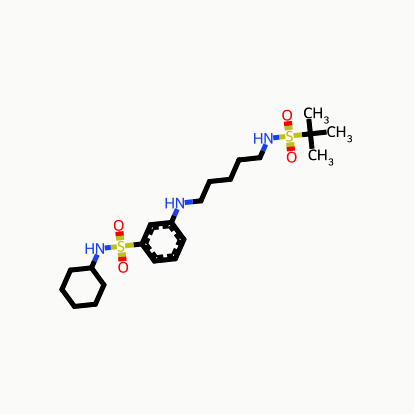 CC(C)(C)S(=O)(=O)NCCCCCNc1cccc(S(=O)(=O)NC2CCCCC2)c1